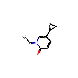 CCn1cc(C2CC2)ccc1=O